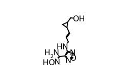 NC(=NO)c1nonc1NCC=CC1CC1CO